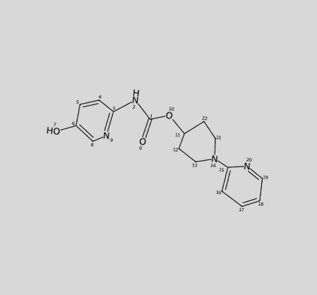 O=C(Nc1ccc(O)cn1)OC1CCN(c2ccccn2)CC1